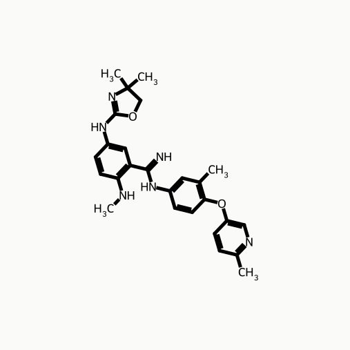 CNc1ccc(NC2=NC(C)(C)CO2)cc1C(=N)Nc1ccc(Oc2ccc(C)nc2)c(C)c1